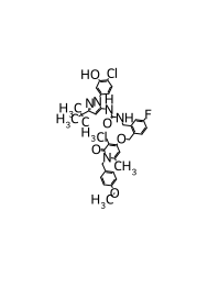 COc1ccc(Cn2c(C)cc(OCc3ccc(F)cc3CNC(=O)Nc3cc(C(C)(C)C)nn3-c3ccc(Cl)c(O)c3)c(Cl)c2=O)cc1